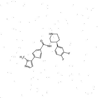 Cn1nccc1-c1ccc(C(=O)N[C@@H]2CNCC[C@H]2c2ccc(F)c(F)c2)cc1